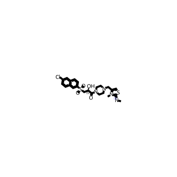 C/N=c1\scc(CN2CCN(C(=O)[C@H](O)CS(=O)(=O)c3ccc4cc(Cl)ccc4c3)CC2)n1C